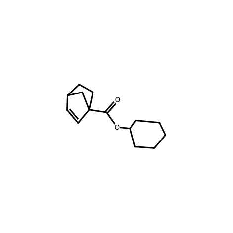 O=C(OC1CCCCC1)C12C=CC(CC1)C2